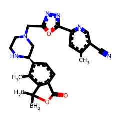 BC1(B)OC(=O)c2ccc([C@@H]3CN(Cc4nnc(-c5cc(C)c(C#N)cn5)o4)CCN3)c(C)c21